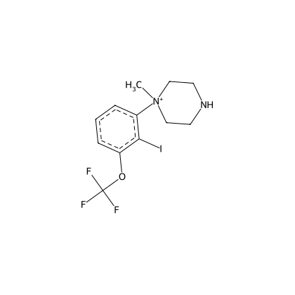 C[N+]1(c2cccc(OC(F)(F)F)c2I)CCNCC1